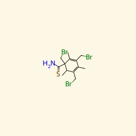 CC1=C(CBr)C(C)C(CBr)(C(N)=S)C(C)=C1CBr